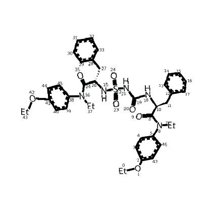 CCOc1ccc(N(CC)C(=O)[C@H](Cc2ccccc2)NC(=O)NS(=O)(=O)N[C@@H](Cc2ccccc2)C(=O)N(CC)c2ccc(OCC)cc2)cc1